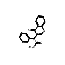 COC(=O)[C@H](c1ccccc1)c1coc2ccccc2c1=O